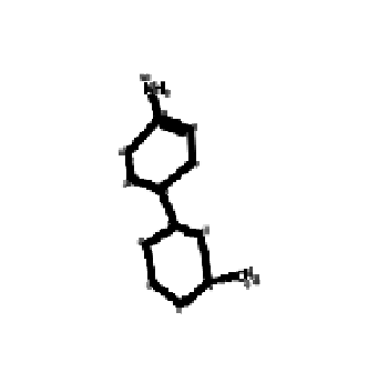 C[C@H]1CCCC(C2CC=C(N)CC2)C1